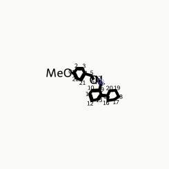 COc1ccc(CO/N=[C]\c2ccccc2C2CCCCC2)cc1